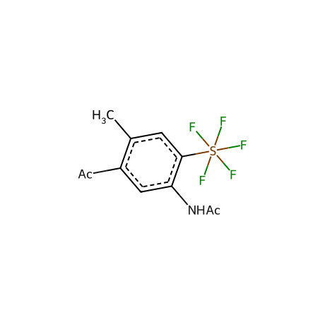 CC(=O)Nc1cc(C(C)=O)c(C)cc1S(F)(F)(F)(F)F